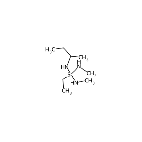 CCC(C)N[Si](CC)(NC)NC